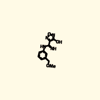 COCc1cccc(NC(=N)c2nonc2O)c1